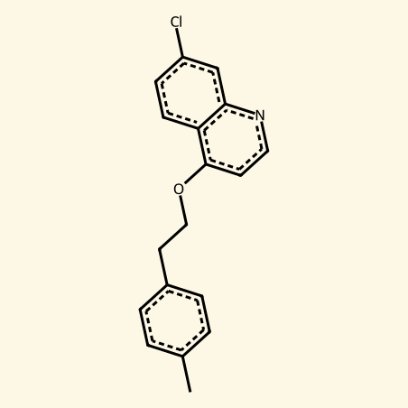 Cc1ccc(CCOc2ccnc3cc(Cl)ccc23)cc1